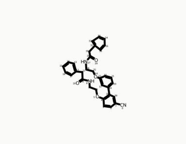 N#Cc1ccc(OCCNC(=O)Cc2ccccc2)c(-c2cccc(OCCNC(=O)Cc3ccccc3)c2)c1